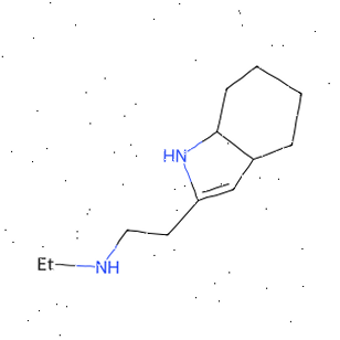 CCNCCC1=CC2CCCCC2N1